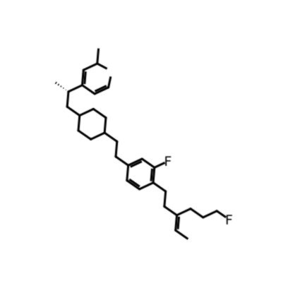 C/C=C\C(=C/C(C)C)[C@@H](C)CC1CCC(CCc2ccc(CC/C(=C/C)CCCF)c(F)c2)CC1